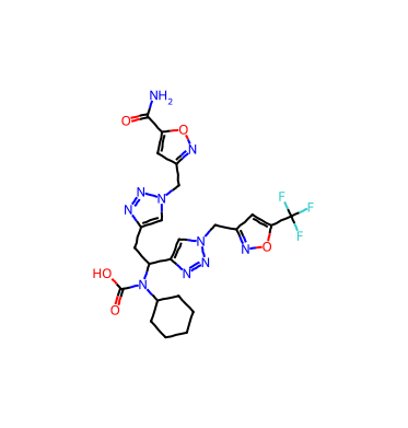 NC(=O)c1cc(Cn2cc(CC(c3cn(Cc4cc(C(F)(F)F)on4)nn3)N(C(=O)O)C3CCCCC3)nn2)no1